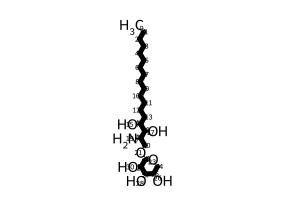 CCCCCCCCCCCCCC[C@@H](O)[C@@H](O)[C@@H](N)COC1OCC(O)C(O)C1O